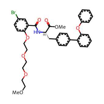 COCCOCCOCCOc1ccc(Br)cc1C(=O)N[C@@H](Cc1ccc(-c2ccccc2Oc2ccccc2)cc1)C(=O)OC